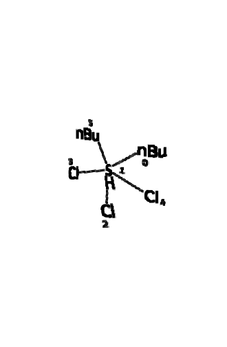 CCCC[SH](Cl)(Cl)(Cl)CCCC